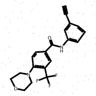 C#Cc1cccc(NC(=O)c2ccc(N3CCOCC3)c(C(F)(F)F)c2)c1